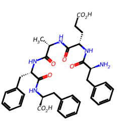 C[C@H](NC(=O)[C@H](CCC(=O)O)NC(=O)[C@@H](N)Cc1ccccc1)C(=O)N[C@@H](Cc1ccccc1)C(=O)N[C@@H](Cc1ccccc1)C(=O)O